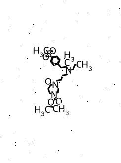 CCCN(CCCCN1CCN(C(=O)OC(C)C)CCC1=O)C(C)Cc1ccc(S(C)(=O)=O)cc1